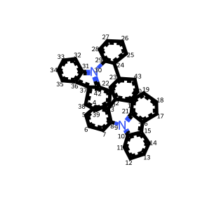 c1cc(-c2ccccc2-n2c3ccccc3c3ccccc32)cc(-c2ccccc2-n2c3ccccc3c3ccccc32)c1